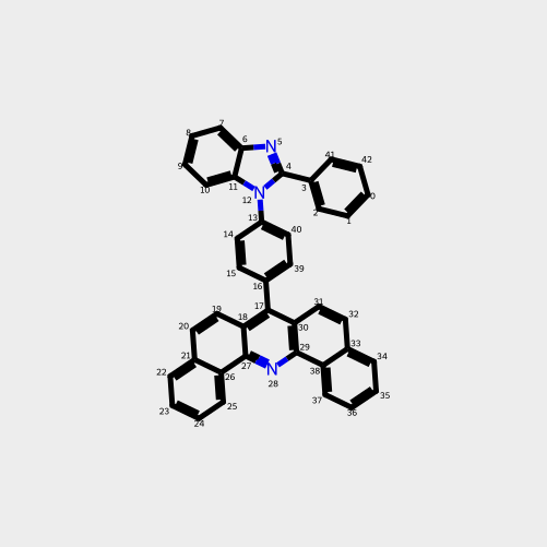 c1ccc(-c2nc3ccccc3n2-c2ccc(-c3c4ccc5ccccc5c4nc4c3ccc3ccccc34)cc2)cc1